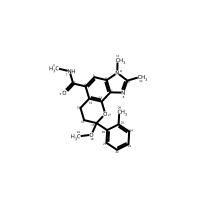 CNC(=O)c1cc2c(nc(C)n2C)c2c1CCC(OC)(c1ccccc1C)O2